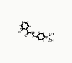 O=C(NCc1ccc(B(O)O)cc1)c1ccncc1F